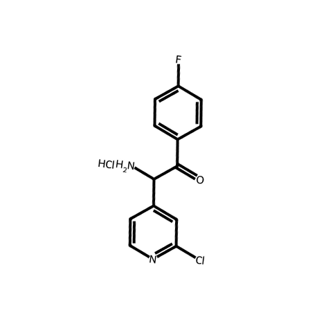 Cl.NC(C(=O)c1ccc(F)cc1)c1ccnc(Cl)c1